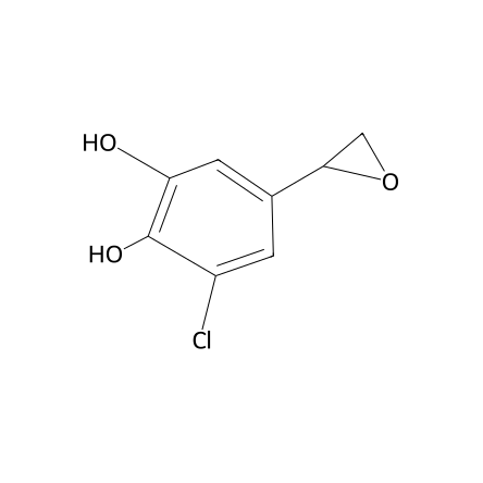 Oc1cc(C2CO2)cc(Cl)c1O